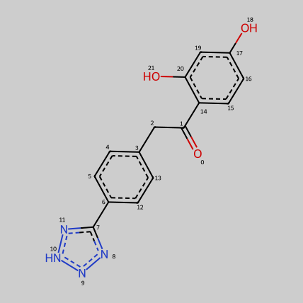 O=C(Cc1ccc(-c2nn[nH]n2)cc1)c1ccc(O)cc1O